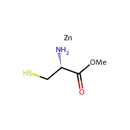 COC(=O)[C@@H](N)CS.[Zn]